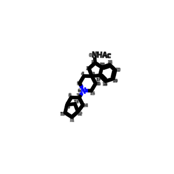 CC(=O)NC1CC2(CCN(C3CC4CCC(C4)C3)CC2)c2ccccc21